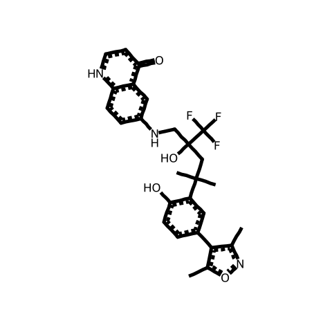 Cc1noc(C)c1-c1ccc(O)c(C(C)(C)CC(O)(CNc2ccc3[nH]ccc(=O)c3c2)C(F)(F)F)c1